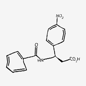 O=C(O)C[C@@H](NC(=O)c1ccccc1)c1ccc([N+](=O)[O-])cc1